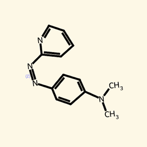 CN(C)c1ccc(/N=N\c2ccccn2)cc1